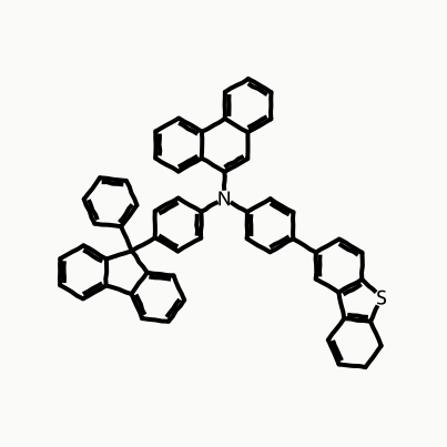 C1=Cc2c(sc3ccc(-c4ccc(N(c5ccc(C6(c7ccccc7)c7ccccc7-c7ccccc76)cc5)c5cc6ccccc6c6ccccc56)cc4)cc23)CC1